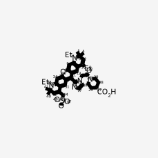 CCC1=CC(C)(C)N(CC)c2cc3c(cc21)C(c1nccn1CC(=O)N1CCC(C(=O)O)CC1)=c1cc2c(cc1O3)=[N+](CC)C(C)(C)C=C2CS(=O)(=O)[O-]